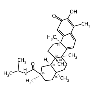 CC1=C(O)C(=O)C=C2C1=CC=C1[C@@]2(C)CC[C@@]2(C)[C@@H]3C[C@](C)(C(=O)NC(C)C)CC[C@]3(C)CC[C@]12C